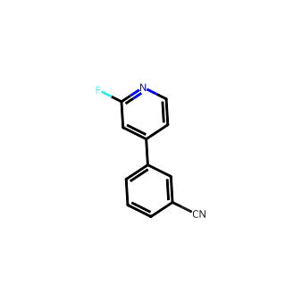 N#Cc1cccc(-c2ccnc(F)c2)c1